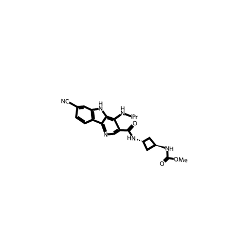 COC(=O)N[C@H]1C[C@H](NC(=O)c2cnc3c([nH]c4cc(C#N)ccc43)c2NC(C)C)C1